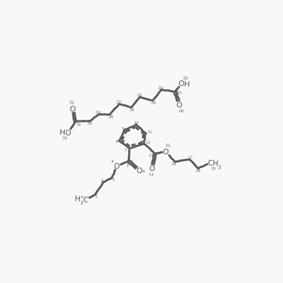 CCCCOC(=O)c1ccccc1C(=O)OCCCC.O=C(O)CCCCCCCCC(=O)O